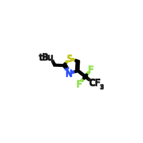 CC(C)(C)Cc1nc(C(F)(F)C(F)(F)F)cs1